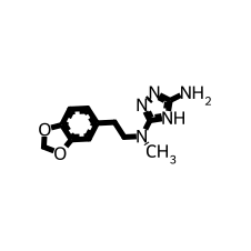 CN(CCc1ccc2c(c1)OCO2)c1nnc(N)[nH]1